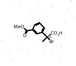 COC(=O)c1cccc([C@@](C)(Br)C(=O)O)c1